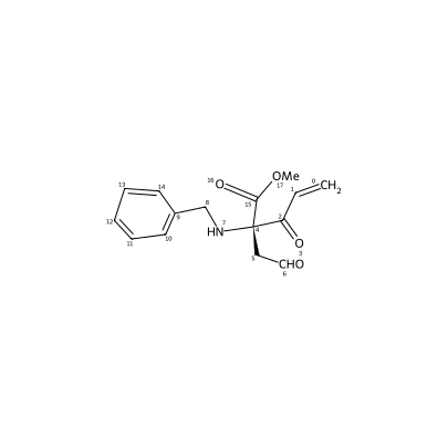 C=CC(=O)[C@](CC=O)(NCc1ccccc1)C(=O)OC